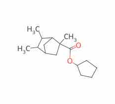 CC1C2CC(C1C)C(C)(C(=O)OC1CCCC1)C2